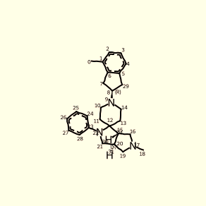 Cc1cccc2c1C[C@H](N1CCC3(CC1)[C@@H]1CN(C)C[C@H]1CN3c1ccccc1)C2